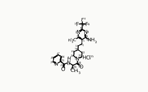 Cc1nc(C(F)(F)F)nc(N)c1CCC1CCN(C(=O)C(C)NC(=O)c2ccccn2)CC1.Cl